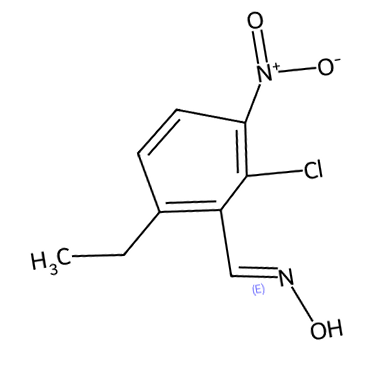 CCc1ccc([N+](=O)[O-])c(Cl)c1/C=N/O